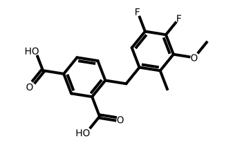 COc1c(C)c(Cc2ccc(C(=O)O)cc2C(=O)O)cc(F)c1F